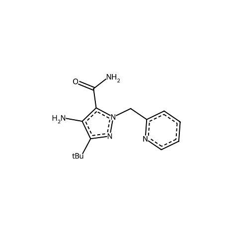 CC(C)(C)c1nn(Cc2ccccn2)c(C(N)=O)c1N